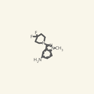 Cn1nc(N2CCC(F)(F)CC2)c2cc(N)ccc21